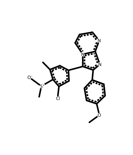 COc1ccc(-c2nc3ncccn3c2-c2cc(C)c([S+](C)[O-])c(Cl)c2)cc1